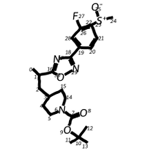 CC(CC1CCN(C(=O)OC(C)(C)C)CC1)c1nc(-c2ccc([S+](C)[O-])c(F)c2)no1